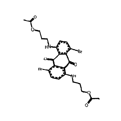 CC(=O)OCCCNc1ccc(Br)c2c1C(=O)c1c(Br)ccc(NCCCOC(C)=O)c1C2=O